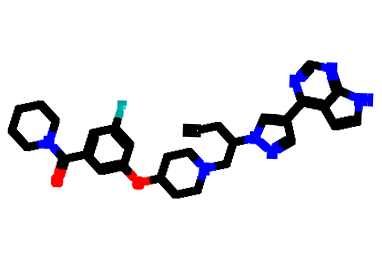 N#CCC(CN1CCC(Oc2cc(F)cc(C(=O)N3CCCCC3)c2)CC1)n1cc(-c2ncnc3[nH]ccc23)cn1